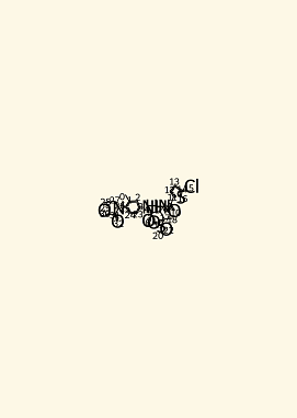 Cc1cc(NC(=O)[C@@H](NC(=O)c2ccc(Cl)s2)C(C)S(C)(=O)=O)ccc1N1CCOCC1=O